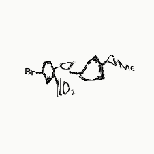 COc1ccc(COc2ccc(Br)cc2[N+](=O)[O-])cc1